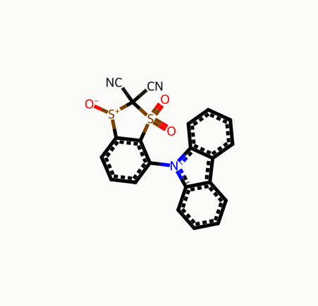 N#CC1(C#N)[S+]([O-])c2cccc(-n3c4ccccc4c4ccccc43)c2S1(=O)=O